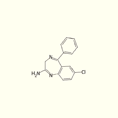 NC1=Nc2ccc(Cl)cc2C(c2ccccc2)=NC1